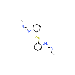 CCN=C=Nc1ccccc1SSc1ccccc1N=C=NCC